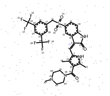 Cc1[nH]c(/C=C2\C(=O)Nc3ccc(S(=O)(=O)Cc4cc(C(F)(F)F)cc(C(F)(F)F)c4)cc32)c(C)c1C(=O)N1CCN(C)CC1